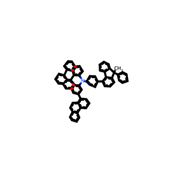 CC1(c2ccccc2)c2ccccc2-c2c(-c3ccc(N(c4cccc(-c5cccc6c5ccc5ccccc56)c4)c4ccccc4-c4cccc5cccc(-c6ccccc6)c45)cc3)cccc21